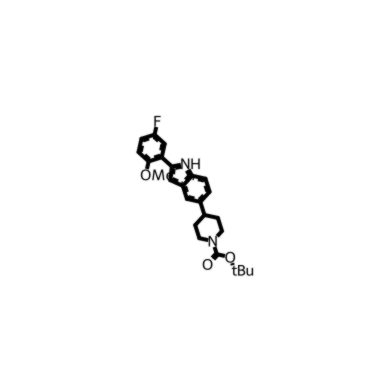 COc1ccc(F)cc1-c1cc2cc(C3CCN(C(=O)OC(C)(C)C)CC3)ccc2[nH]1